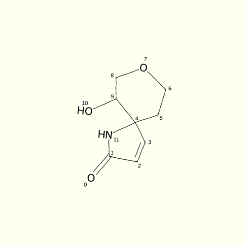 O=C1C=CC2(CCOCC2O)N1